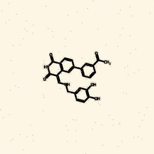 CC(=O)c1cccc(-c2ccc3c(c2)/C(=C\NCc2ccc(O)c(O)c2)C(=O)NC3=O)c1